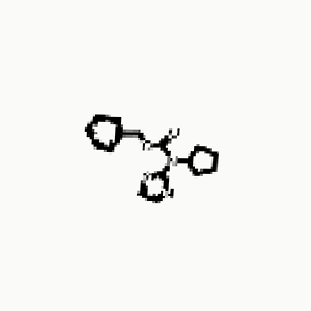 O=C(OCc1ccccc1)N(c1nccs1)C1CCCC1